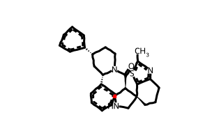 Cc1nc2c(s1)[C@]1(CCC2)CNC[C@H]1C(=O)N1CC[C@@H](c2ccccc2)C[C@H]1c1ccccc1